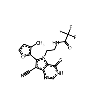 Cc1ccoc1-c1c(C#N)c2nc[nH]c(=S)c2n1CCNC(=O)C(F)(F)F